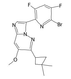 COc1cc2ncc(-c3nc(Br)c(F)cc3F)n2nc1C1CC(C)(C)C1